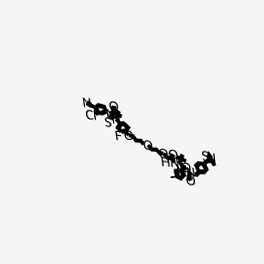 Cc1ncsc1-c1ccc(CNC(=O)[C@@H]2C[C@@H](C)CN2C(=O)[C@@H](NC(=O)COCCCOCCCCOc2ccc(N3C(=S)N(c4ccc(C#N)c(Cl)c4)C(=O)C3(C)C)cc2F)C(C)(C)C)cc1